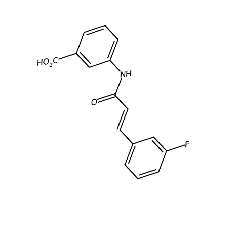 O=C(C=Cc1cccc(F)c1)Nc1cccc(C(=O)O)c1